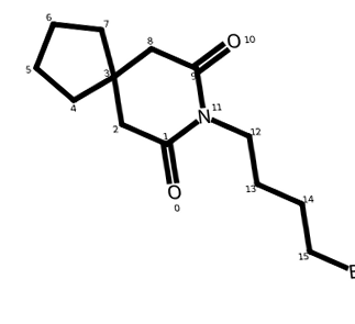 O=C1CC2(CCCC2)CC(=O)N1CCCCBr